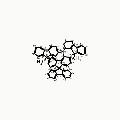 CC1(C)C2=C(C=CCC2N(c2ccc3c(c2)C(C)(C)c2ccccc2-3)c2cccc3c2-c2ccccc2C32c3ccccc3-c3ccccc32)c2ccccc21